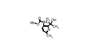 Cc1ccc(NC(=O)OC(C)(C)C)c(C(C)(C)O)n1